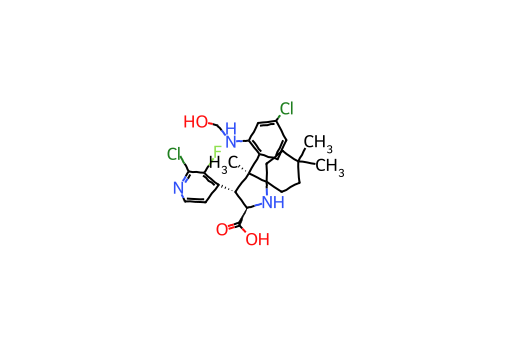 CC1(C)CCC2(CC1)N[C@@H](C(=O)O)[C@H](c1ccnc(Cl)c1F)[C@@]2(C)c1ccc(Cl)cc1NCO